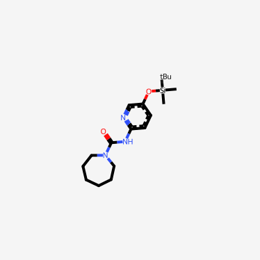 CC(C)(C)[Si](C)(C)Oc1ccc(NC(=O)N2CCCCCC2)nc1